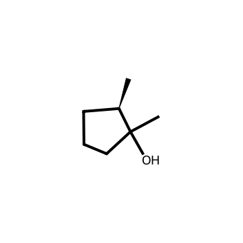 C[C@@H]1CCCC1(C)O